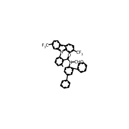 Cc1cccc(-n2c3cc(C(F)(F)F)ccc3c3ccc(C(F)(F)F)cc32)c1C(=O)N(C=O)c1ccc(-c2ccccc2)cc1-c1ccccc1